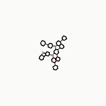 c1ccc(-c2ccc(N(c3ccc(-c4ccccc4)cc3)c3cc(N(c4ccc(-c5ccccc5)cc4)c4ccc5sc6ccccc6c5c4)c(-c4ccccc4)cc3-c3ccccc3)cc2)cc1